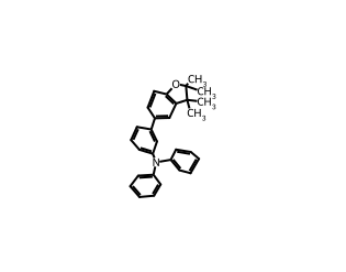 CC1(C)Oc2ccc(-c3cccc(N(c4ccccc4)c4ccccc4)c3)cc2C1(C)C